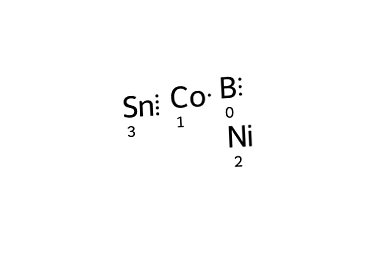 [B].[Co].[Ni].[Sn]